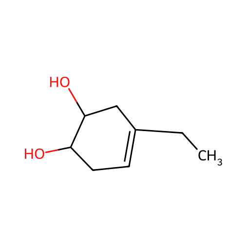 CCC1=CCC(O)C(O)C1